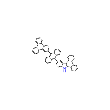 c1ccc2c(-c3ccc4[nH]c5c6ccccc6c6ccccc6c5c4c3)c3ccccc3c(-c3ccc4c5ccccc5c5ccccc5c4c3)c2c1